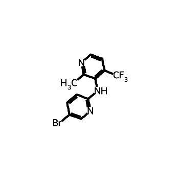 Cc1nccc(C(F)(F)F)c1Nc1ccc(Br)cn1